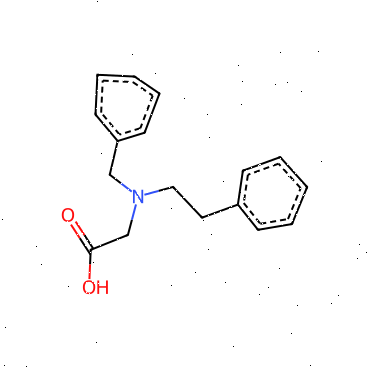 O=C(O)CN(CCc1ccccc1)Cc1ccccc1